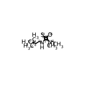 CCN(C)c1c(NCCC(C)(C)C)c(=S)c1=O